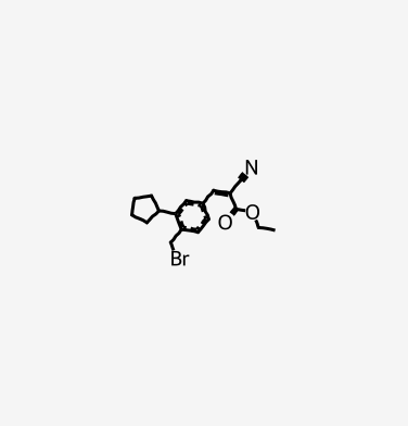 CCOC(=O)C(C#N)=Cc1ccc(CBr)c(C2CCCC2)c1